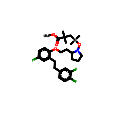 CC(C)(C)OC(=O)C(C)(C)C[Si](C)(C)ON1CCCC1CCOc1ccc(F)cc1CCc1ccc(F)c(F)c1